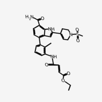 CCOC(=O)/C=C/C(=O)Nc1cccc(-c2ccc(C(N)=O)c3[nH]c(C4=CCN(S(C)(=O)=O)CC4)cc23)c1C